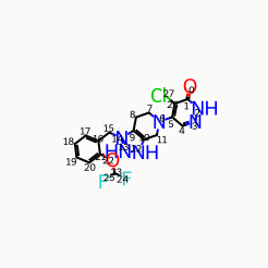 O=c1[nH]ncc(N2CCC3=C(C2)NNN3Cc2ccccc2OC(F)F)c1Cl